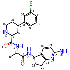 CC(NC(=O)C1C=C(c2cccc(F)c2)CCN1)C(=O)NC1CCc2nc(N)ccc21